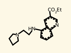 CCOC(=O)c1cnc2cccc(NCCN3CCCC3)c2c1